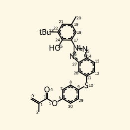 C=C(C)C(=O)Oc1ccc(Sc2ccc3nn(-c4cc(C)cc(C(C)(C)C)c4O)nc3c2)cc1